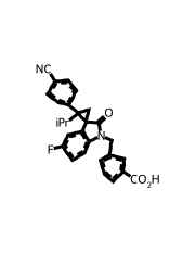 CC(C)C1(c2ccc(C#N)cc2)CC12C(=O)N(Cc1cccc(C(=O)O)c1)c1ccc(F)cc12